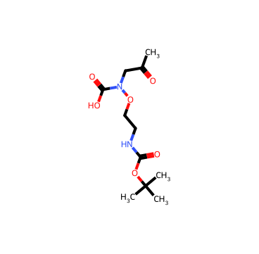 CC(=O)CN(OCCNC(=O)OC(C)(C)C)C(=O)O